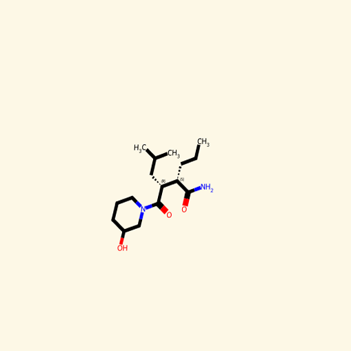 CCC[C@H](C(N)=O)[C@@H](CC(C)C)C(=O)N1CCCC(O)C1